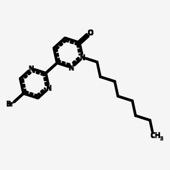 CCCCCCCCn1nc(-c2ncc(Br)cn2)ccc1=O